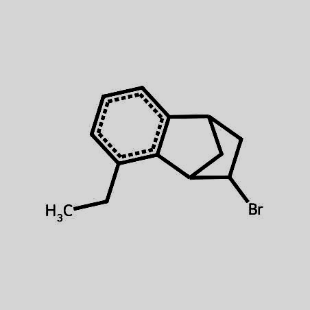 CCc1cccc2c1C1CC2CC1Br